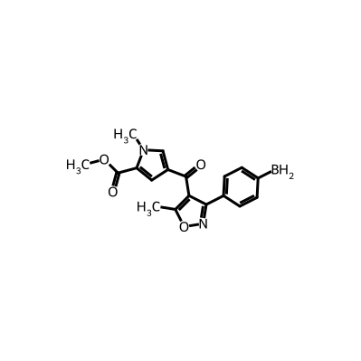 Bc1ccc(-c2noc(C)c2C(=O)c2cc(C(=O)OC)n(C)c2)cc1